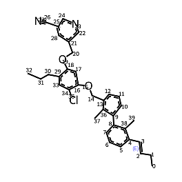 CC/C=C/c1cccc(-c2cccc(COc3cc(OCc4cncc(C#N)c4)c(CCC)cc3Cl)c2C)c1C